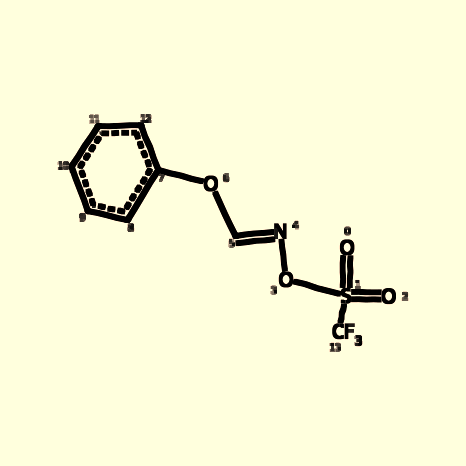 O=S(=O)(ON=COc1cc[c]cc1)C(F)(F)F